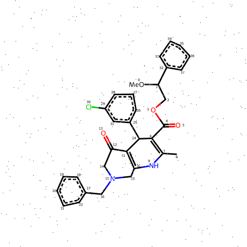 COC(COC(=O)C1=C(C)NC2=C(C(=O)CN(Cc3ccccc3)C2)C1c1cccc(Cl)c1)c1ccccc1